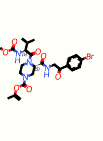 C=C(C)OC(=O)N1CCN(C(=O)[C@@H](NC(=O)OC)C(C)C)[C@H](C(=O)NCC(=O)c2ccc(Br)cc2)C1